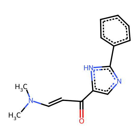 CN(C)C=CC(=O)c1cnc(-c2ccccc2)[nH]1